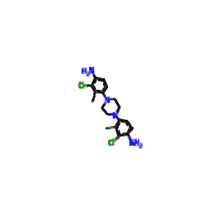 Cc1c(N2CCN(c3ccc(N)c(Cl)c3C)CC2)ccc(N)c1Cl